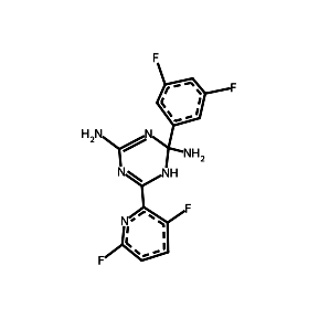 NC1=NC(N)(c2cc(F)cc(F)c2)NC(c2nc(F)ccc2F)=N1